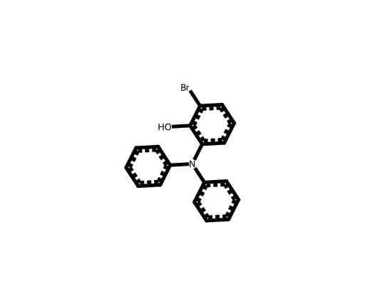 Oc1c(Br)cccc1N(c1ccccc1)c1ccccc1